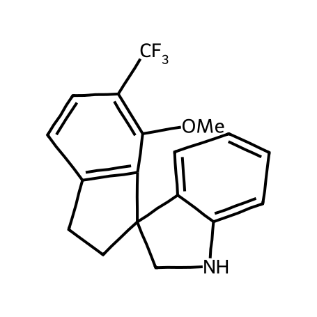 COc1c(C(F)(F)F)ccc2c1C1(CC2)CNc2ccccc21